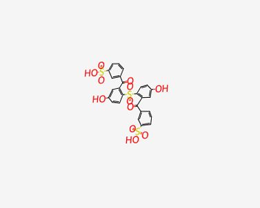 O=C(c1cccc(S(=O)(=O)O)c1)c1cc(O)ccc1S(=O)(=O)c1ccc(O)cc1C(=O)c1cccc(S(=O)(=O)O)c1